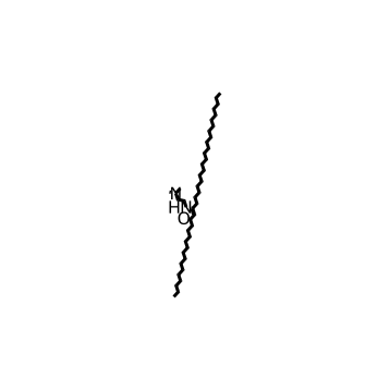 CCCCCCCCCCCCCCCCCCCCC/C(=C/C(=O)CCCCCCCCCCCCCC)NCCN(C)C